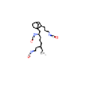 CCC(CCCC(CC12CCC(CC1CCCN=C=O)C2)N=C=O)CCN=C=O